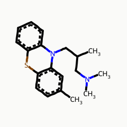 Cc1ccc2c(c1)N(CC(C)CN(C)C)c1ccccc1S2